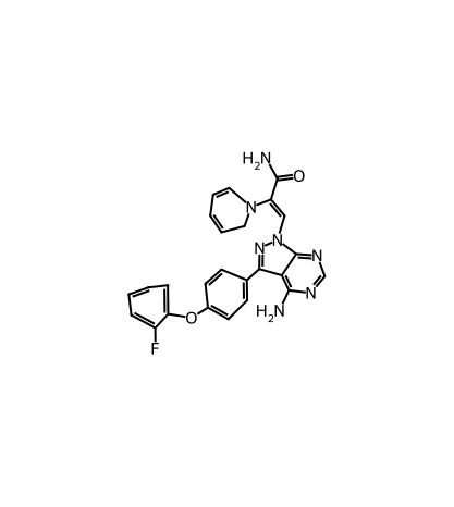 NC(=O)C(=Cn1nc(-c2ccc(Oc3ccccc3F)cc2)c2c(N)ncnc21)N1C=CC=CC1